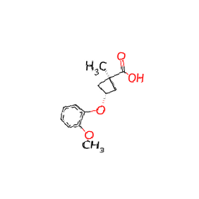 COc1ccccc1O[C@H]1C[C@](C)(C(=O)O)C1